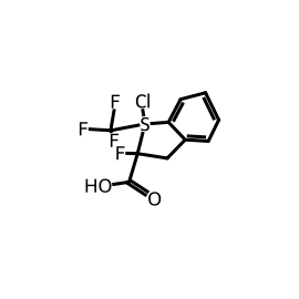 O=C(O)C1(F)Cc2ccccc2S1(Cl)C(F)(F)F